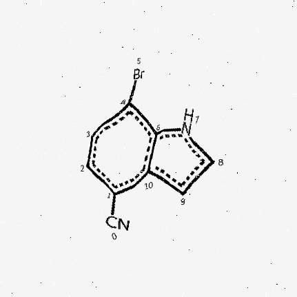 N#Cc1ccc(Br)c2[nH]ccc12